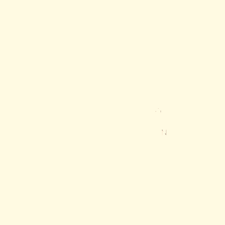 IC=CCc1cnoc1